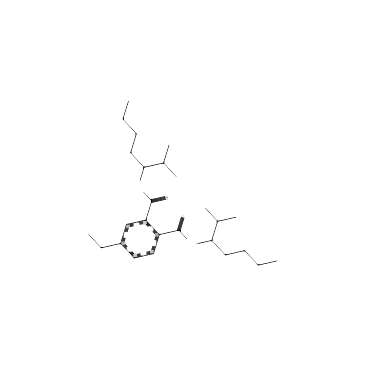 CCCCC(OC(=O)c1ccc(CC)cc1C(=O)OC(CCCC)C(C)C)C(C)C